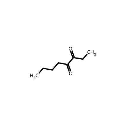 CCCCC(=O)C(=O)CC